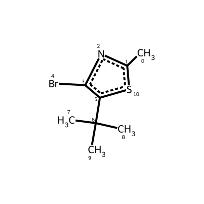 Cc1nc(Br)c(C(C)(C)C)s1